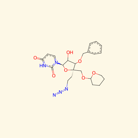 [N-]=[N+]=NCC[C@]1(COC2CCCCO2)O[C@@H](n2ccc(=O)[nH]c2=O)C(O)C1OCc1ccccc1